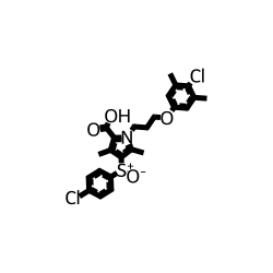 Cc1cc(OCCCn2c(C)c([S+]([O-])c3ccc(Cl)cc3)c(C)c2C(=O)O)cc(C)c1Cl